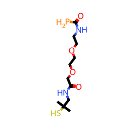 CC(C)(S)CNC(=O)COCCOCCNC(=O)P